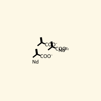 C=C(C)C(=O)[O-].C=C(C)C(=O)[O-].C=C(C)C(=O)[O-].[Nd+3].[Nd]